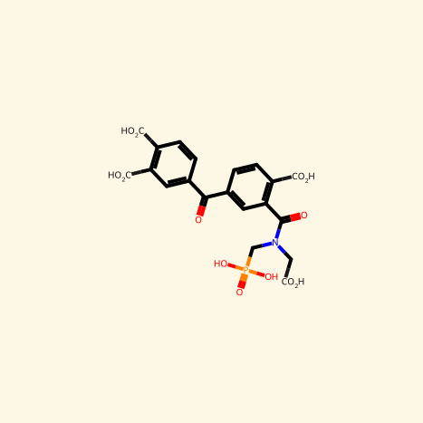 O=C(O)CN(CP(=O)(O)O)C(=O)c1cc(C(=O)c2ccc(C(=O)O)c(C(=O)O)c2)ccc1C(=O)O